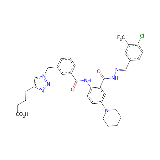 O=C(O)CCCc1cn(Cc2cccc(C(=O)Nc3ccc(N4CCCCC4)cc3C(=O)NN=Cc3ccc(Cl)c(C(F)(F)F)c3)c2)nn1